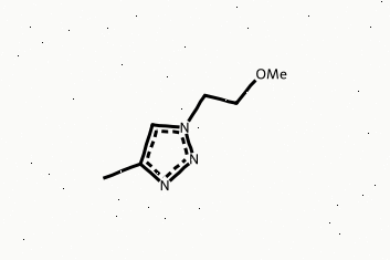 COCCn1cc(C)nn1